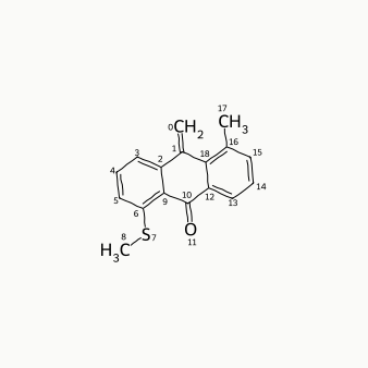 C=C1c2cccc(SC)c2C(=O)c2cccc(C)c21